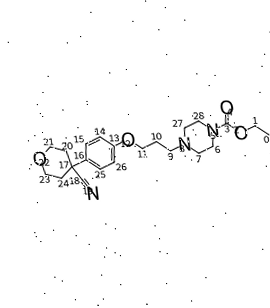 CCOC(=O)N1CCN(CCCOc2ccc(C3(C#N)CCOCC3)cc2)CC1